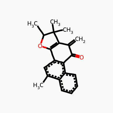 C=C1C(=O)c2c(cc(C)c3ccccc23)C2=C1C(C)(C)C(C)O2